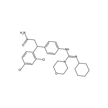 NC(=O)CC(c1ccc(N/C(=N/C2CCCCC2)N2CCOCC2)cc1)c1ccc(Cl)cc1Cl